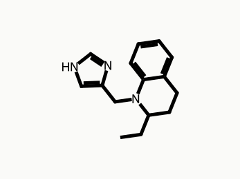 CCC1CCc2ccccc2N1Cc1c[nH]cn1